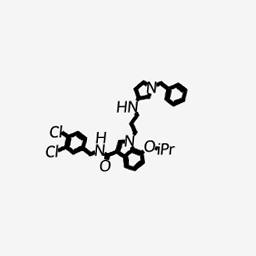 CC(C)Oc1cccc2c(C(=O)NCc3ccc(Cl)c(Cl)c3)cn(CCCNC3CCN(Cc4ccccc4)C3)c12